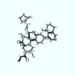 C=CC(=O)N1C[C@@H]2C(=O)N(C)c3c(OC[C@@H]4CCCN4C)nc4c(c3N2C[C@H]1C)CCN(c1cncc2c1N(C)CCC2)C4